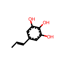 CC=Cc1cc(O)c(O)c(O)c1